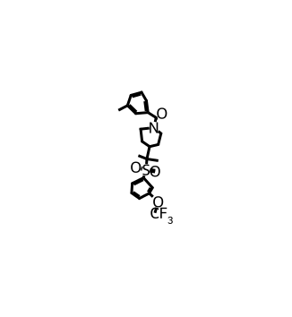 Cc1cccc(C(=O)N2CCC(C(C)(C)S(=O)(=O)c3cccc(OC(F)(F)F)c3)CC2)c1